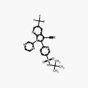 CC(C)(C)NS(=O)(=O)c1ccc(-c2c(C#N)c3cc(C(F)(F)F)cnc3n2-c2cnccn2)nc1